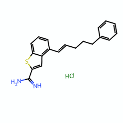 Cl.N=C(N)c1cc2c(C=CCCCc3ccccc3)cccc2s1